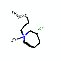 CCCCCCCCC[N+]1(CC)CCCCC1.[Cl-]